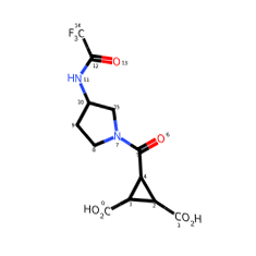 O=C(O)C1C(C(=O)O)C1C(=O)N1CCC(NC(=O)C(F)(F)F)C1